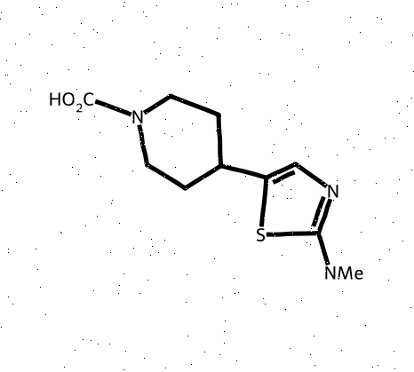 CNc1ncc(C2CCN(C(=O)O)CC2)s1